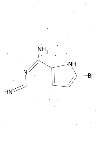 N=C/N=C(/N)c1ccc(Br)[nH]1